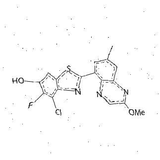 COc1cnc2c(-c3nc4c(Cl)c(F)c(O)cc4s3)cc(C)cc2n1